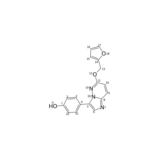 Oc1ccc(-c2cnc3ccc(OCc4ccco4)nn23)cc1